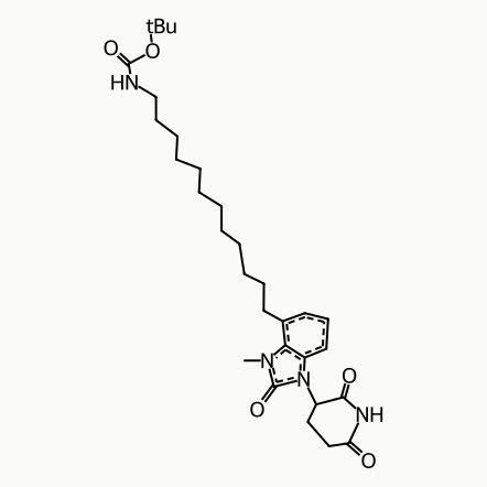 Cn1c(=O)n(C2CCC(=O)NC2=O)c2cccc(CCCCCCCCCCCCNC(=O)OC(C)(C)C)c21